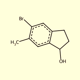 Cc1cc2c(cc1Br)CCC2O